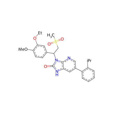 CCOc1cc(C(CS(C)(=O)=O)n2c(=O)[nH]c3cc(-c4ccccc4C(C)C)cnc32)ccc1OC